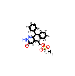 CS(=O)(=O)OCCc1cc(=O)[nH]nc1C(c1ccccc1)c1ccccc1